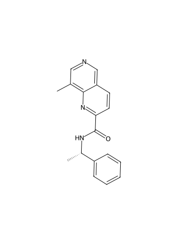 Cc1cncc2ccc(C(=O)N[C@@H](C)c3ccccc3)nc12